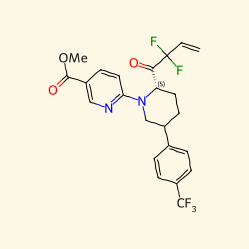 C=CC(F)(F)C(=O)[C@@H]1CCC(c2ccc(C(F)(F)F)cc2)CN1c1ccc(C(=O)OC)cn1